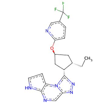 CC[C@H]1C[C@H](Oc2ccc(C(F)(F)F)cn2)C[C@H]1c1nnc2cnc3[nH]ccc3n12